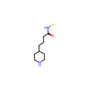 O=C(CCCC1CCNCC1)NS